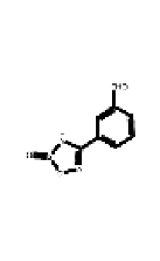 O=Cc1cccc(C2=NOS(=O)N2)c1